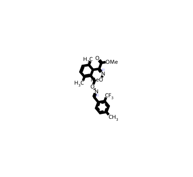 CO/N=C(/C(=O)OC)C1C(CO/N=C/c2ccc(C)cc2C(F)(F)F)=C(C)C=CC1C